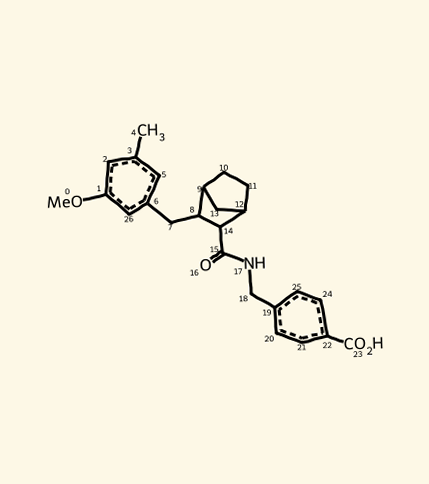 COc1cc(C)cc(CC2C3CCC(C3)C2C(=O)NCc2ccc(C(=O)O)cc2)c1